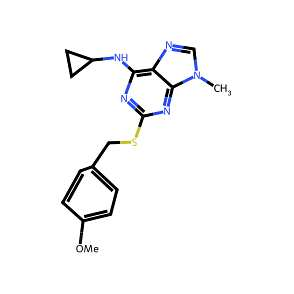 COc1ccc(CSc2nc(NC3CC3)c3ncn(C)c3n2)cc1